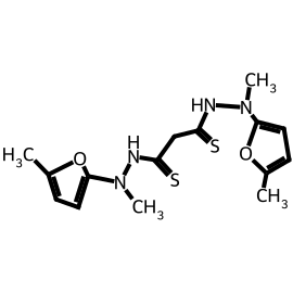 Cc1ccc(N(C)NC(=S)CC(=S)NN(C)c2ccc(C)o2)o1